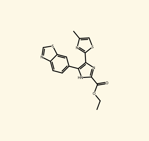 CCOC(=O)c1nc(-c2nc(C)cs2)c(-c2ccc3ncsc3c2)[nH]1